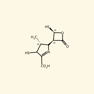 C[C@H]1C(S)C(C(=O)O)=NC1[C@@H]1C(=O)O[C@@H]1S